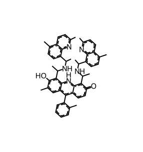 Cc1ccc2c(C)ccc(C(C)NC(C)c3c4[nH]c5c(C(C)NC(C)c6ccc(C)c7ccc(C)nc67)c(O)c(C)cc5c(-c5ccccc5C)c-4ccc3=O)c2n1